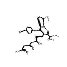 Cc1ccc2c(-c3ccc(F)cc3)c(C=CC(O)CC(=O)CC(=O)O)c(C(C)C)nn12